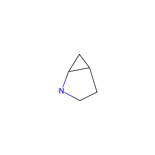 C1CC2CC2[N]1